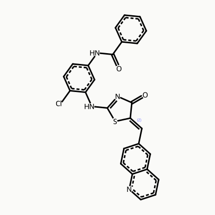 O=C1N=C(Nc2cc(NC(=O)c3ccccc3)ccc2Cl)S/C1=C\c1ccc2ncccc2c1